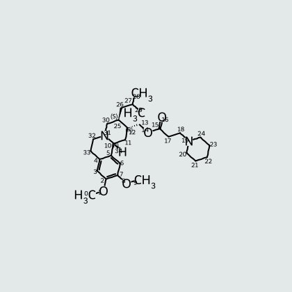 COc1cc2c(cc1OC)[C@H]1C[C@@H](COC(=O)CCN3CCCCC3)[C@H](CC(C)C)CN1CC2